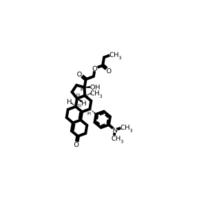 CCC(=O)OCC(=O)[C@@]1(O)CC[C@H]2[C@@H]3CCC4=CC(=O)CCC4=C3[C@@H](c3ccc(N(C)C)cc3)C[C@@]21C